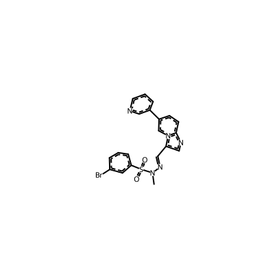 CN(N=Cc1cnc2ccc(-c3cccnc3)cn12)S(=O)(=O)c1cccc(Br)c1